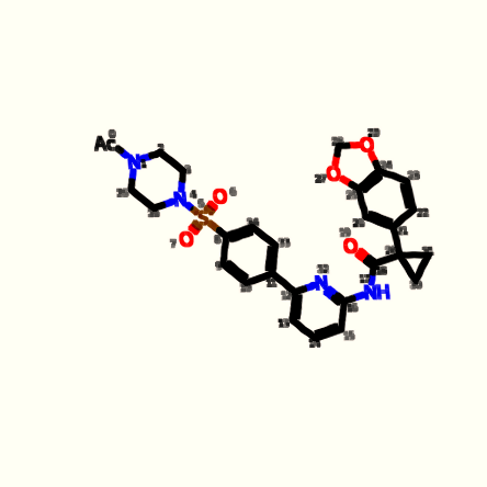 CC(=O)N1CCN(S(=O)(=O)c2ccc(-c3cccc(NC(=O)C4(c5ccc6c(c5)OCO6)CC4)n3)cc2)CC1